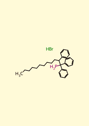 Br.CCCCCCCCCCC(c1ccccc1)C(P)(c1ccccc1)c1ccccc1